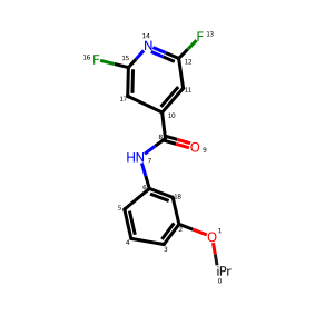 CC(C)Oc1cccc(NC(=O)c2cc(F)nc(F)c2)c1